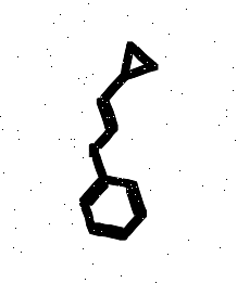 C(=C\C1CC1)/Sc1ccccc1